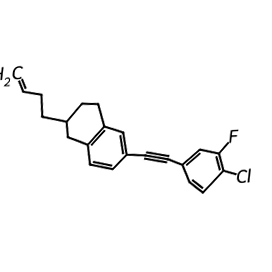 C=CCCC1CCc2cc(C#Cc3ccc(Cl)c(F)c3)ccc2C1